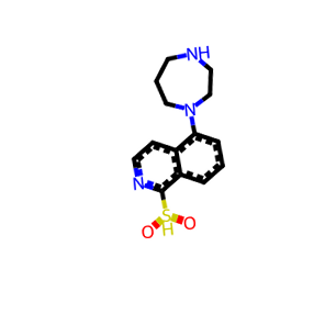 O=[SH](=O)c1nccc2c(N3CCCNCC3)cccc12